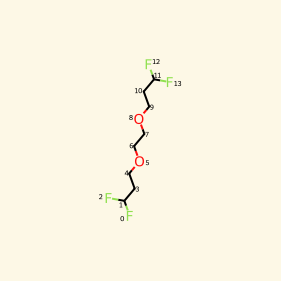 FC(F)CCOCCOCCC(F)F